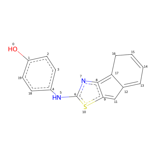 Oc1ccc(Nc2nc3c(s2)=CC2=CC=CCC=32)cc1